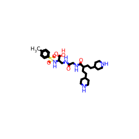 Cc1ccc(S(=O)(=O)NC(CNC(=O)CNC(=O)C(CCC2CCNCC2)CCC2CCNCC2)C(=O)O)cc1